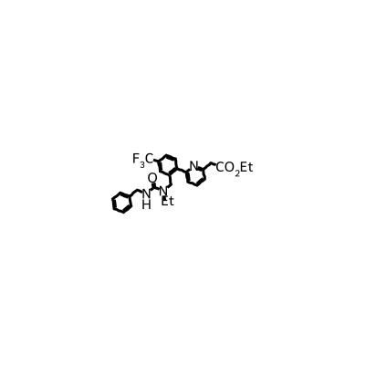 CCOC(=O)Cc1cccc(-c2ccc(C(F)(F)F)cc2CN(CC)C(=O)NCc2ccccc2)n1